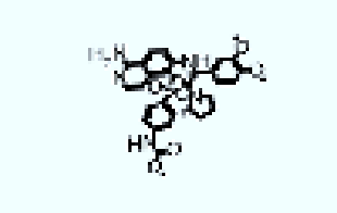 CCS(=O)(=O)c1ccc(NC(=O)OC)cc1[C@H]1CCCN1C(=O)[C@@H](Nc1ccc2c(N)nccc2c1)c1ccc(OC)c(OC)c1